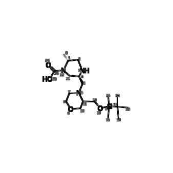 C[C@@H]1CN[C@@H](CN2CCOCC2CO[Si](C)(C)C(C)(C)C)CN1C(=O)O